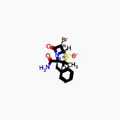 CC1(C)[S@@+]([O-])[C@@H]2[C@@H](Br)C(=O)N2[C@@]1(Cc1ccccc1)C(N)=O